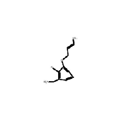 CCCCC=CCOc1cccc(CN)c1F